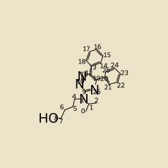 CC(C)N(CCCCO)c1nnc(-c2ccccc2)c(-c2ccccc2)n1